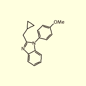 COc1ccc(-n2c(CC3CC3)nc3ccccc32)cc1